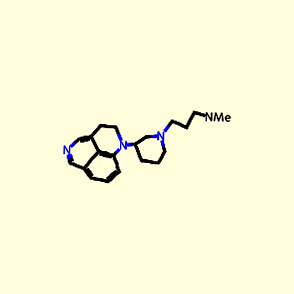 CNCCCN1CCCC(N2CCc3cncc4cccc2c34)C1